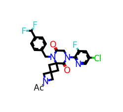 CC(=O)N1CC2(C1)CC1(C2)C(=O)N(c2ncc(Cl)cc2F)CC(=O)N1Cc1ccc(C(F)F)cc1